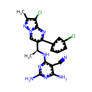 Cc1nn2cc([C@H](C)Nc3nc(N)nc(N)c3C#N)c(-c3cccc(Cl)c3)nc2c1Cl